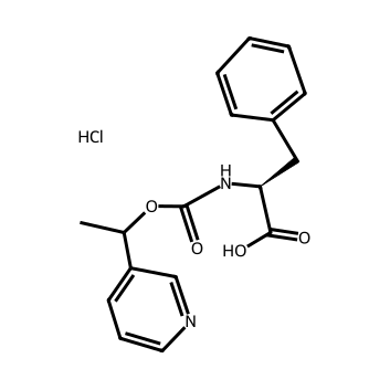 CC(OC(=O)N[C@@H](Cc1ccccc1)C(=O)O)c1cccnc1.Cl